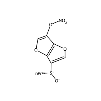 CCC[S@@+]([O-])c1coc2c(O[N+](=O)[O-])coc12